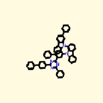 c1ccc(-c2ccc(-c3nc(-c4ccccc4)nc(-c4cc(-n5c6ccccc6c6cccc(-n7c8ccccc8c8ccc(-c9ccccc9)cc87)c65)ccc4-c4ccccc4)n3)cc2)cc1